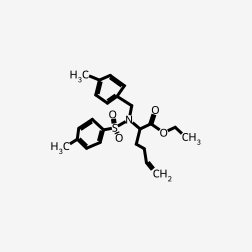 C=CCCC(C(=O)OCC)N(Cc1ccc(C)cc1)S(=O)(=O)c1ccc(C)cc1